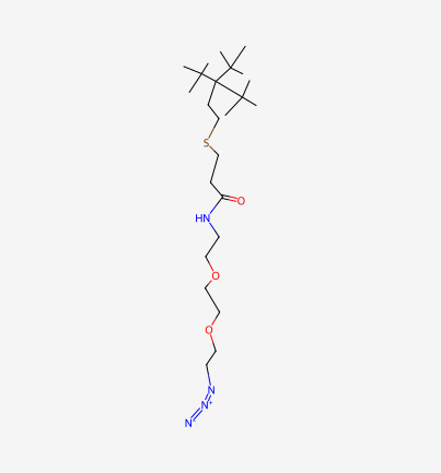 CC(C)(C)C(CCSCCC(=O)NCCOCCOCCN=[N+]=[N-])(C(C)(C)C)C(C)(C)C